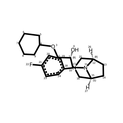 O[C@@H](COC1CCCCC1)CN1[C@@H]2CC[C@H]1CN(c1ccc(F)cc1)C2